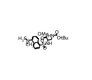 COC(=O)C(CNC(=O)OC(C)(C)C)NS(=O)(=O)c1cccc2c(N(C)C)cccc12